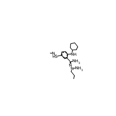 CCCN(N)/N=C(\N)c1cc(SNC)ccc1NC1CCCCC1